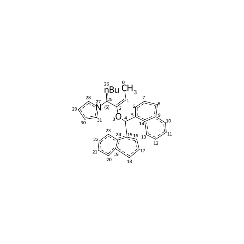 CC=C(OC(c1cccc2ccccc12)c1cccc2ccccc12)[C@H](CCCC)n1cccc1